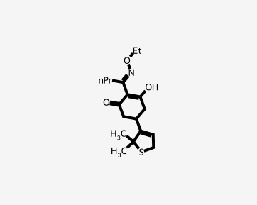 CCC/C(=N\OCC)C1=C(O)CC(C2=CCSC2(C)C)CC1=O